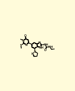 CCNC(=O)Nc1nc2cc(-c3cc(=O)n(C)c(SC)n3)cc(N3CCC=N3)c2[nH]1